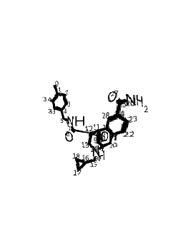 Cc1ccc(CNC(=O)[C@H]2C[C@]34CCN(CC5CC5)[C@H](Cc5ccc(C(N)=O)cc53)[C@]4(O)C2)cc1